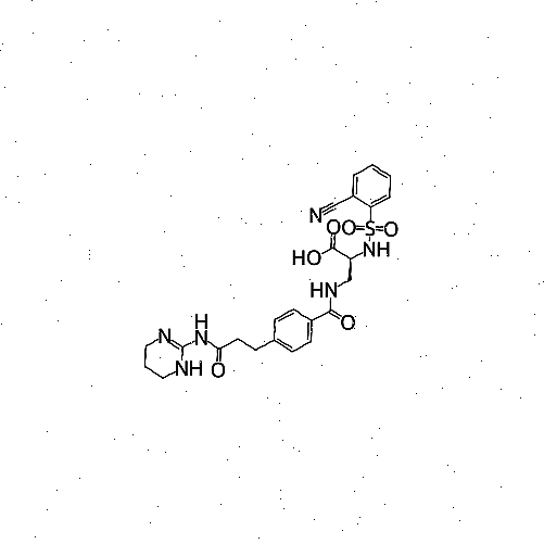 N#Cc1ccccc1S(=O)(=O)N[C@@H](CNC(=O)c1ccc(CCC(=O)NC2=NCCCN2)cc1)C(=O)O